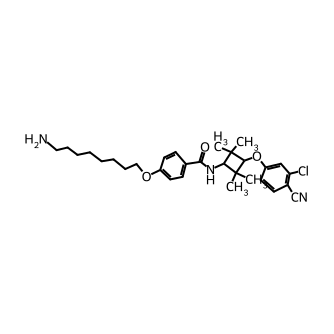 CC1(C)C(NC(=O)c2ccc(OCCCCCCCCN)cc2)C(C)(C)C1Oc1ccc(C#N)c(Cl)c1